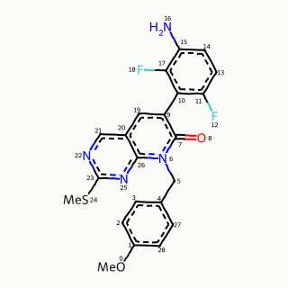 COc1ccc(Cn2c(=O)c(-c3c(F)ccc(N)c3F)cc3cnc(SC)nc32)cc1